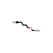 C#CCCCCOCOC